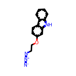 [N-]=[N+]=NCCOc1ccc2c(c1)[nH]c1ccccc12